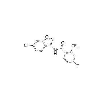 O=C(Nc1noc2cc(Cl)ccc12)c1ccc(F)cc1C(F)(F)F